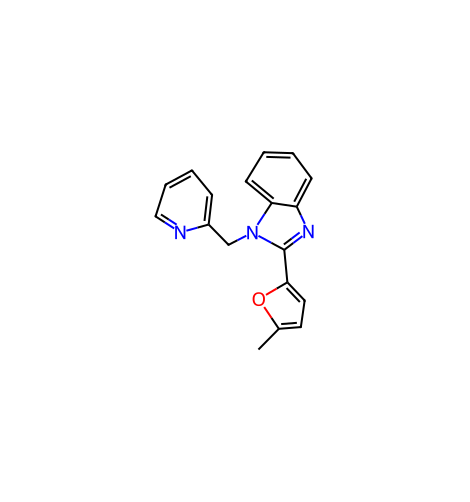 Cc1ccc(-c2nc3ccccc3n2Cc2ccccn2)o1